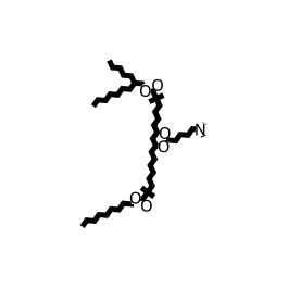 CCCCCCCCCOC(=O)C(C)(C)CCCCCCC(CCCCCCC(C)(C)C(=O)OCC(CCCCC)CCCCCCC)OC(=O)CCCCN(C)C